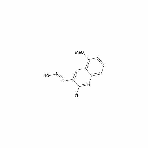 COc1cccc2nc(Cl)c(C=NO)cc12